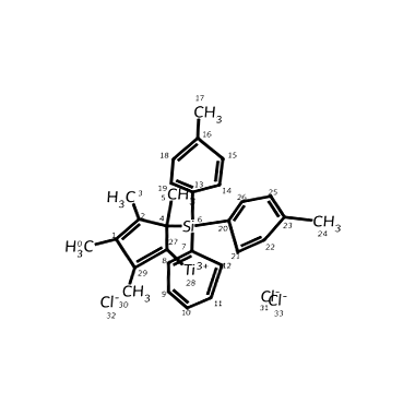 CC1=C(C)C(C)([Si](c2ccccc2)(c2ccc(C)cc2)c2ccc(C)cc2)[C]([Ti+3])=C1C.[Cl-].[Cl-].[Cl-]